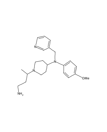 COc1ccc(N(Cc2cccnc2)C2CCN(C(C)CCN)CC2)cc1